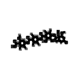 COC1=CC(=O)C=C(C)[C@]1(O)C(=O)Oc1c(C)c(C)c(C(=O)Oc2cc(C)c(C(=O)Oc3cc(OC)c(C(=O)O)c(C)c3C)c(C)c2C)c(O)c1Br